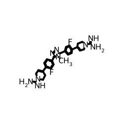 Cn1c(-c2ccc(C3=CCN(C(=N)N)CC3)c(F)c2)nnc1-c1ccc(C2=CCN(C(=N)N)CC2)c(F)c1